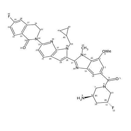 COc1cc(C(=O)N2C[C@H](N)C[C@@H](F)C2)cc2nc(-c3cc4ccc(N5CCc6cc(F)ccc6C5=O)nc4n3CC3CC3)n(C)c12